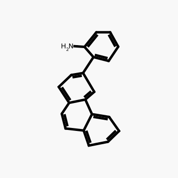 Nc1ccccc1-c1ccc2ccc3ccccc3c2c1